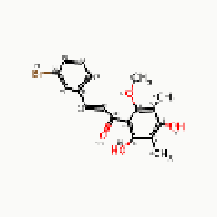 COc1c(C)c(O)c(C)c(O)c1C(=O)C=Cc1cccc(Br)c1